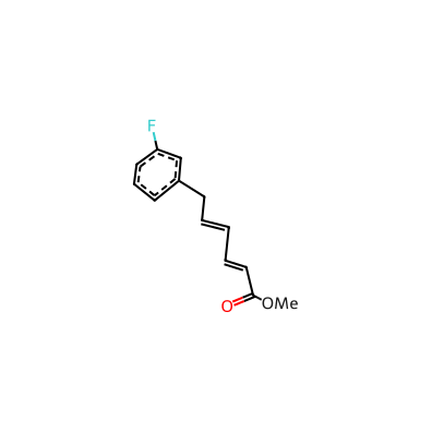 COC(=O)C=CC=CCc1cccc(F)c1